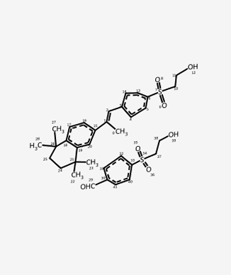 CC(=Cc1ccc(S(=O)(=O)CCO)cc1)c1ccc2c(c1)C(C)(C)CCC2(C)C.O=Cc1ccc(S(=O)(=O)CCO)cc1